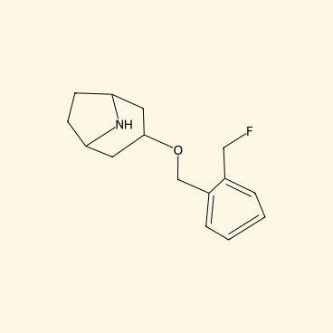 FCc1ccccc1COC1CC2CCC(C1)N2